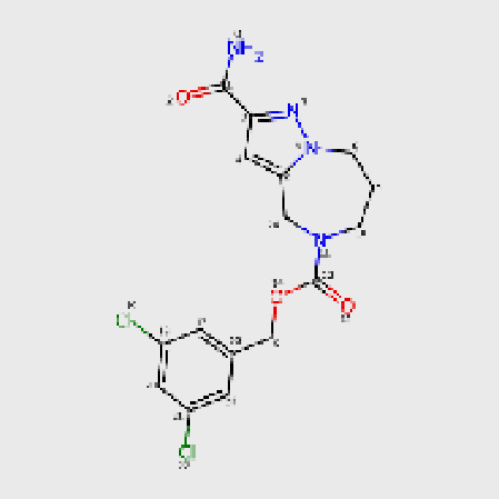 NC(=O)c1cc2n(n1)CCCN(C(=O)OCc1cc(Cl)cc(Cl)c1)C2